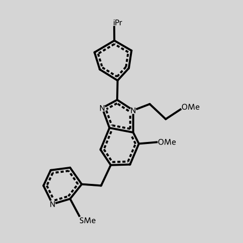 COCCn1c(-c2ccc(C(C)C)cc2)nc2cc(Cc3cccnc3SC)cc(OC)c21